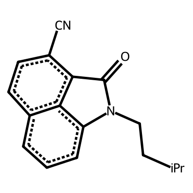 CC(C)CCN1C(=O)c2c(C#N)ccc3cccc1c23